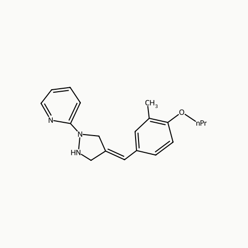 CCCOc1ccc(C=C2CNN(c3ccccn3)C2)cc1C